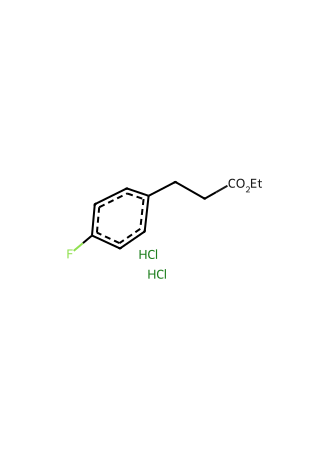 CCOC(=O)CCc1ccc(F)cc1.Cl.Cl